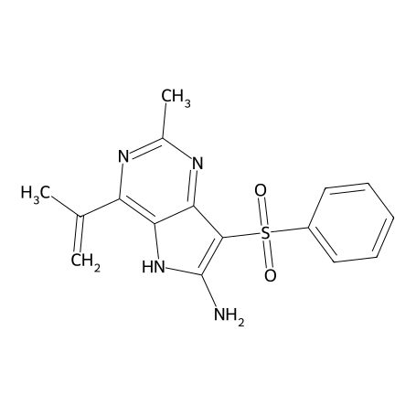 C=C(C)c1nc(C)nc2c(S(=O)(=O)c3ccccc3)c(N)[nH]c12